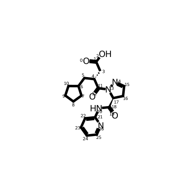 O=C(O)C[C@@H](CC1CCCC1)C(=O)N1N=CC[C@H]1C(=O)Nc1ccccn1